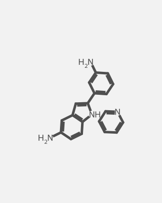 Nc1cccc(-c2cc3cc(N)ccc3[nH]2)c1.c1ccncc1